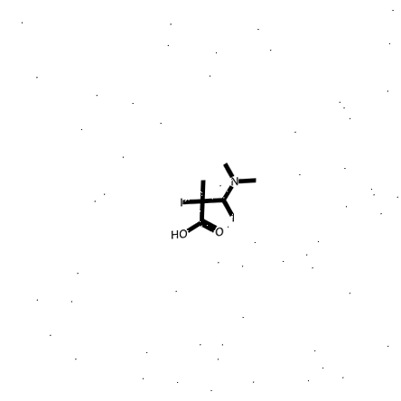 CN(C)C(I)C(C)(I)C(=O)O